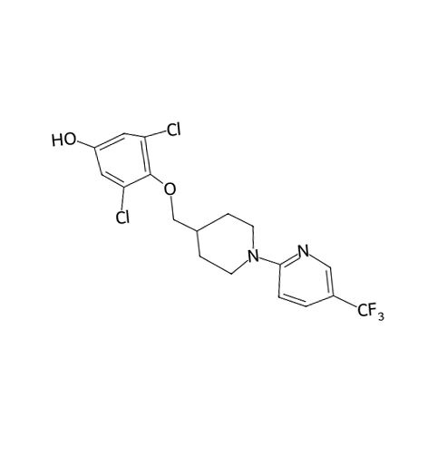 Oc1cc(Cl)c(OCC2CCN(c3ccc(C(F)(F)F)cn3)CC2)c(Cl)c1